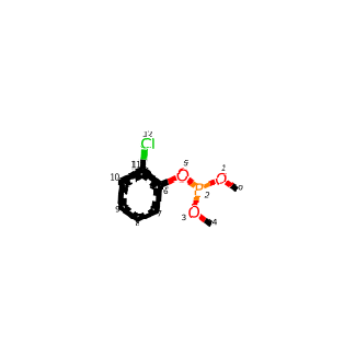 COP(OC)Oc1ccccc1Cl